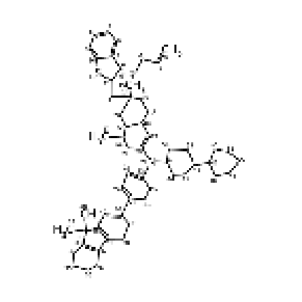 C=CCC[C@H]1c2ccccc2SC1CC1(C)CCC2C=C(N(C3=CC=C(C4=CC5=C(CC4)C4=C(CCCC4)C5(C)C)CC3)C3CCC(C4CCCCC4)CC3)CC(C)C2C1